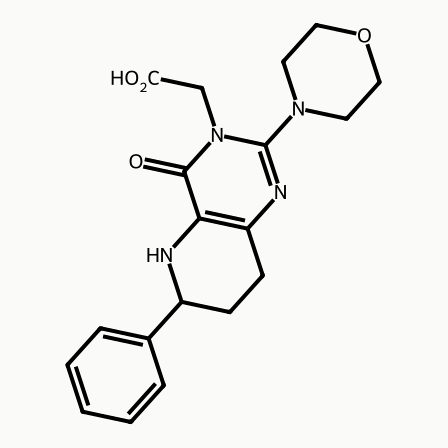 O=C(O)Cn1c(N2CCOCC2)nc2c(c1=O)NC(c1ccccc1)CC2